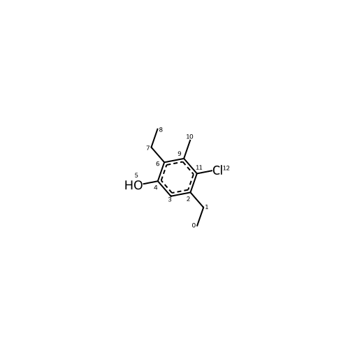 CCc1cc(O)c(CC)c(C)c1Cl